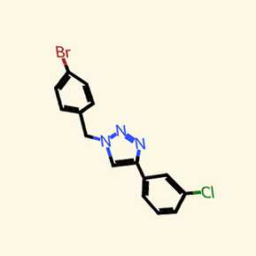 Clc1cccc(-c2cn(Cc3ccc(Br)cc3)nn2)c1